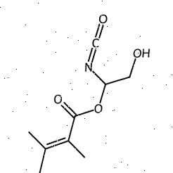 CC(C)=C(C)C(=O)OC(CO)N=C=O